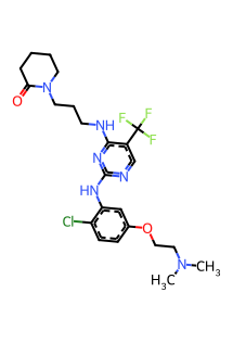 CN(C)CCOc1ccc(Cl)c(Nc2ncc(C(F)(F)F)c(NCCCN3CCCCC3=O)n2)c1